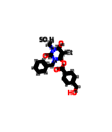 CCc1c(OC(=O)c2ccc(CO)cc2)n(Cc2ccccc2)c(=O)n(CS(=O)(=O)O)c1=O